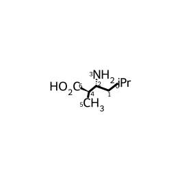 CC(C)C[C@@H](N)[C@@H](C)C(=O)O